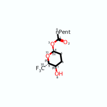 CCCCCC(=O)O[C@H]1CC[C@@H](O)[C@H](C(F)(F)F)O1